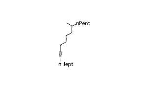 [CH2]CCCCCCC#CCCCCC(C)CCCC[CH2]